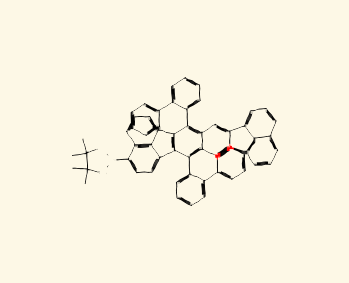 CC1(C)OB(c2ccc3c4c(-c5ccccc5-c5ccccc5)c5cc6c(cc5c(-c5ccccc5-c5ccccc5)c4c4cccc2c43)c2cccc3cccc6c32)OC1(C)C